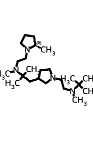 C[C@@H]1CCCN1CCN(C)C(C)(C)CC1CCN(CCN(C)C(C)(C)C)C1